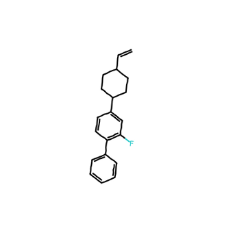 C=CC1CCC(c2ccc(-c3ccccc3)c(F)c2)CC1